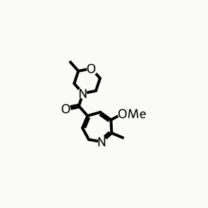 COC1=CC(C(=O)N2CCOC(C)C2)=CCN=C1C